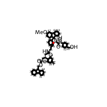 COc1ccc(C(N[C@@H](CCCCNC(=O)C[C@H](CNC(=O)OCC2c3ccccc3-c3ccccc32)c2ccc(F)cc2)C(=O)Nc2ccc(CO)cc2)(c2ccccc2)c2ccccc2)cc1